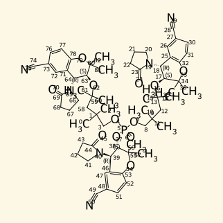 CC(C)(COP(=O)(OCC(C)(C)CC(C)(C)O[C@H]1[C@H](N2CCCC2=O)c2cc(C#N)ccc2OC1(C)C)O[C@H]1[C@H](N2CCCC2=O)c2cc(C#N)ccc2OC1(C)C)CC(C)(C)O[C@H]1[C@H](N2CCCC2=O)c2cc(C#N)ccc2OC1(C)C